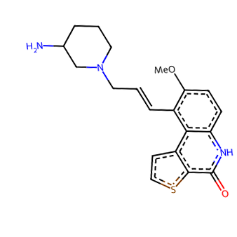 COc1ccc2[nH]c(=O)c3sccc3c2c1C=CCN1CCCC(N)C1